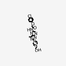 Cc1nc(N2CCN(CCO)CC2)nc2ncc(NC(=O)COc3ccc(Cl)cc3)nc12